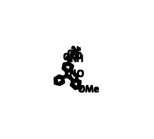 COc1ccc2c(c1)C(=O)n1c-2c(-c2ccccc2)c2ccc(C(=O)NS(=O)(=O)N(C)C)cc21